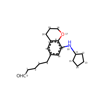 O=CCCCCc1cc2c(c(NC3CCCC3)c1)OCCC2